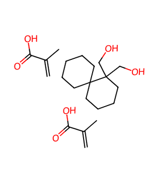 C=C(C)C(=O)O.C=C(C)C(=O)O.OCC1(CO)CCCCC12CCCCC2